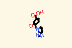 COc1cc(C(=O)O)ccc1Cn1cccc2ncnc1-2